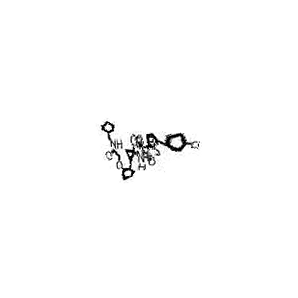 O=C(COc1ccccc1C1CC1(NS(=O)(=O)c1ccc(-c2ccc(Cl)cc2)s1)C(=O)O)NCc1ccccc1